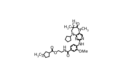 COc1cc(C(=O)NCCOC(=O)C2CC[C@@H](C)C2)ccc1Nc1ncc2c(n1)N(C1CCCC1)CC(C)(C)C(=O)N2C